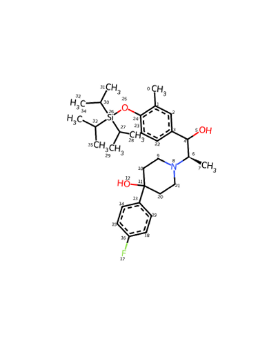 Cc1cc(C(O)[C@@H](C)N2CCC(O)(c3ccc(F)cc3)CC2)ccc1O[Si](C(C)C)(C(C)C)C(C)C